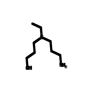 CCN(CCCN)CCCO